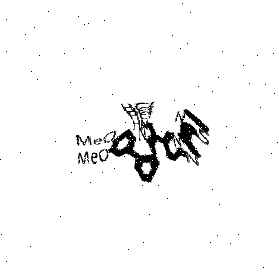 COc1ccc(-c2ccccc2-c2n[nH]cc2-c2ccc3ncc(-c4nccs4)n3c2)cc1OC.Cl.Cl.Cl